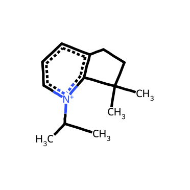 CC(C)[n+]1cccc2c1C(C)(C)CC2